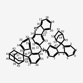 c1ccc2c(c1)-c1ccc(N(c3ccc4sc5ccccc5c4c3)c3cccc4c3-c3ccccc3C43C4CC5CC(C4)CC3C5)cc1C21CC2CCC1C2